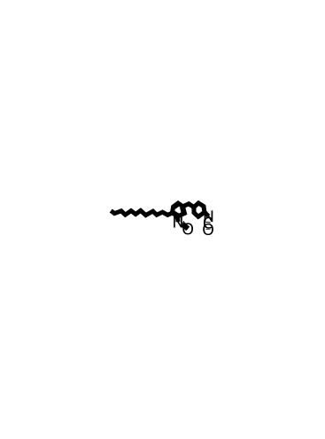 CCCCCCCCCCCCc1ccc(CC2CCC(N=C=O)CC2)cc1N=C=O